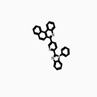 c1ccc(-n2c(-c3ccc(-c4nc5ccccc5c5c4ccc4ccccc45)cn3)nc3ccccc32)cc1